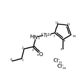 CCCC(=O)[NH][Ti+2][C]1=C(C)C=CC1.[Cl-].[Cl-]